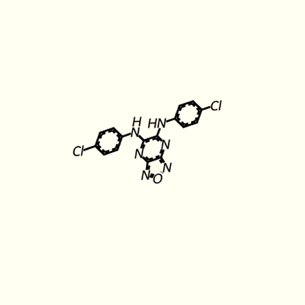 Clc1ccc(Nc2nc3nonc3nc2Nc2ccc(Cl)cc2)cc1